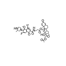 COc1c(N2CCNC(C)C2)c(F)cc2c(=O)c(C(=O)NCCC(=O)OC3CC4(C)C(CC(C)C4(O)C(=O)COC(C)=O)C4CCC5=CC(=O)C=CC5(C)C34F)cn(C3CC3)c12